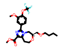 CCCCOC[C@@H]1Cn2c(-c3ccc(OC(F)(F)F)c(OC)c3)nc(C(=O)OC)c2CCO1